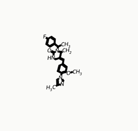 C=C1/C(=C/c2ccc(-n3cnc(C)c3)c(OC)c2)CNC(=O)N1C(C)c1ccc(F)cc1